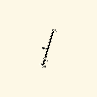 CCCCCCCCCCCCCCCCC=COC(=O)CCC(=O)O.[NaH].[NaH]